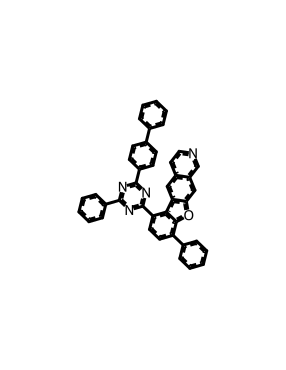 c1ccc(-c2ccc(-c3nc(-c4ccccc4)nc(-c4ccc(-c5ccccc5)c5oc6cc7cnccc7cc6c45)n3)cc2)cc1